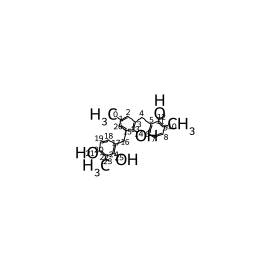 Cc1cc(Cc2cccc(C)c2O)c(O)c(Cc2ccc(O)c(C)c2O)c1